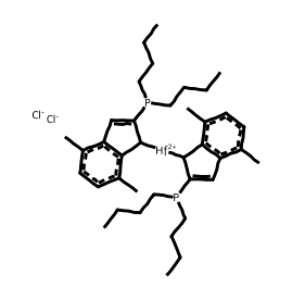 CCCCP(CCCC)C1=Cc2c(C)ccc(C)c2[CH]1[Hf+2][CH]1C(P(CCCC)CCCC)=Cc2c(C)ccc(C)c21.[Cl-].[Cl-]